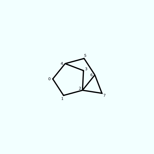 C1CC23CC1CC2C3